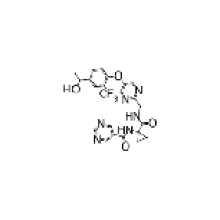 CC(O)c1ccc(Oc2cnc(CNC(=O)C3(NC(=O)c4cncnc4)CC3)nc2)c(C(F)(F)F)c1